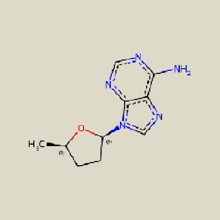 C[C@@H]1CC[C@H](n2cnc3c(N)ncnc32)O1